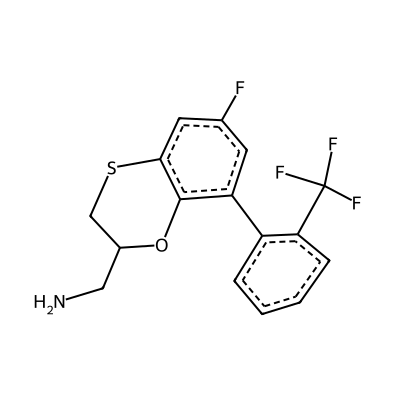 NCC1CSc2cc(F)cc(-c3ccccc3C(F)(F)F)c2O1